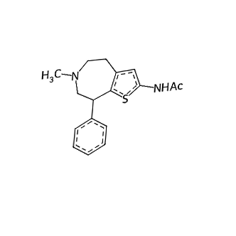 CC(=O)Nc1cc2c(s1)C(c1ccccc1)CN(C)CC2